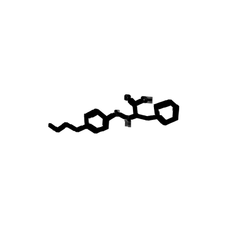 CCCCc1ccc(SNC(Cc2ccccc2)C(=O)O)cc1